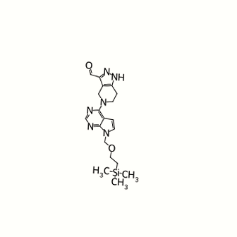 C[Si](C)(C)CCOCn1ccc2c(N3CCc4[nH]nc(C=O)c4C3)ncnc21